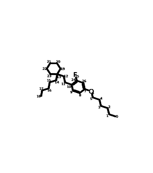 CCCCCCOc1ccc(CCC2(CCCCC)CCCCC2)c(F)c1